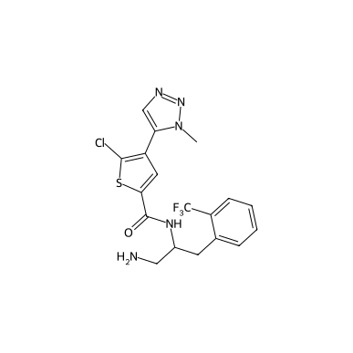 Cn1nncc1-c1cc(C(=O)NC(CN)Cc2ccccc2C(F)(F)F)sc1Cl